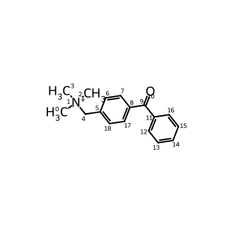 C[N+](C)(C)Cc1ccc(C(=O)c2ccccc2)cc1